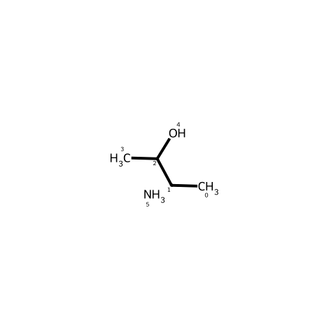 CCC(C)O.N